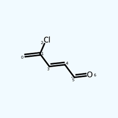 C=C(Cl)C=C[C]=O